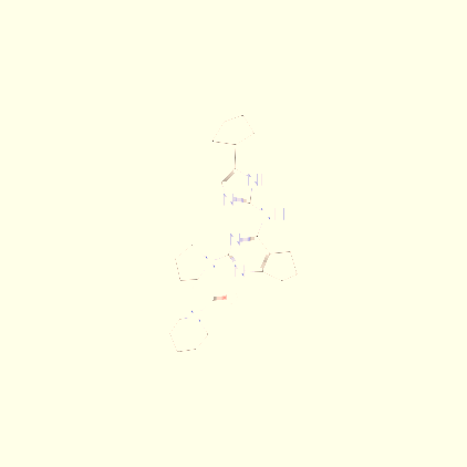 O=C([C@@H]1CCCN1c1nc2c(c(Nc3ncc(C4CCCC4)[nH]3)n1)CCC2)N1CCCCC1